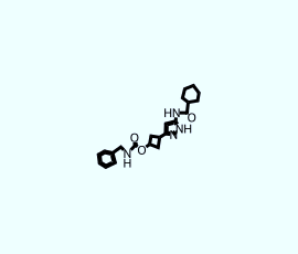 O=C(NCc1ccccc1)OC1CC(c2cc(NC(=O)C3CCCCC3)[nH]n2)C1